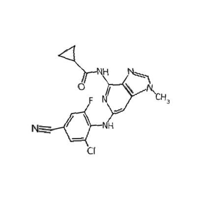 Cn1cnc2c(NC(=O)C3CC3)nc(Nc3c(F)cc(C#N)cc3Cl)cc21